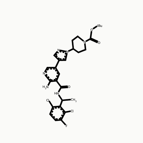 CC(NC(=O)c1cc(-c2cnn(C3CCN(C(=O)OC(C)(C)C)CC3)c2)cnc1N)c1c(Cl)ccc(F)c1Cl